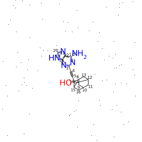 Nc1nc(C#CC2(O)C3CC4CC(C3)CC2C4)nc2[nH]cnc12